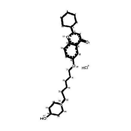 Cl.O=c1cc(C2CCCCC2)oc2ccc(OCCCCCCN3CCC(O)CC3)cc12